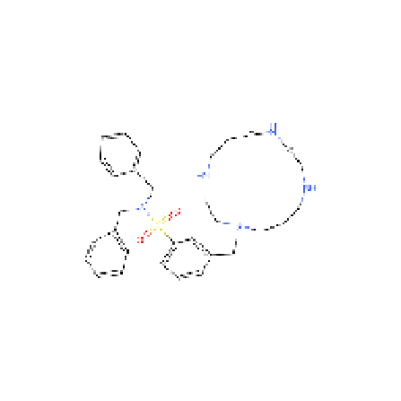 O=S(=O)(c1cccc(CN2CCCNCCNCCCNCC2)c1)N(Cc1ccccc1)Cc1ccccc1